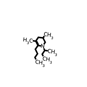 CCCCC1=C(C)CC(C)CN1C(C)CC